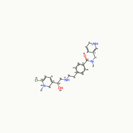 CN(CC1=CNCC=C1)C(=O)c1ccc(CCNCC(O)C2=CC=C(Cl)N(C)C2)cc1